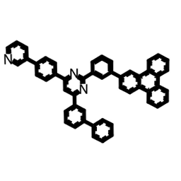 C1=C=C(c2ccc3c4ccccc4c4ccccc4c3c2)C=C(c2nc(-c3ccc(-c4cccnc4)cc3)cc(-c3cccc(-c4ccccc4)c3)n2)C=1